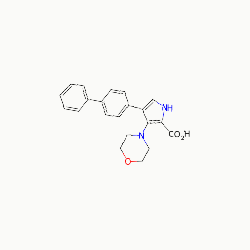 O=C(O)c1[nH]cc(-c2ccc(-c3ccccc3)cc2)c1N1CCOCC1